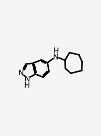 c1cc2[nH]ncc2cc1NC1CCCCCC1